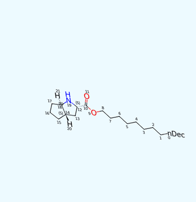 CCCCCCCCCCCCCCCCCCOC(=O)[C@@H]1C[C@@H]2CCC[C@H]2N1